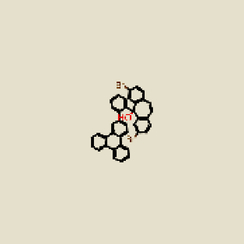 OC1(c2ccccc2-c2ccc3c4ccccc4c4ccccc4c3c2)c2cc(Br)ccc2C=Cc2ccc(Br)cc21